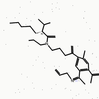 C=CC/N=C(/C)c1cc(C(=C)CCCN(CCC)C(=C)[C@H](CCCCC)C(C)C)c(C)cc1C(=C)C